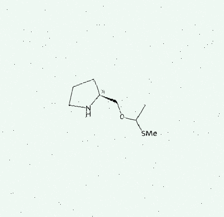 CSC(C)OC[C@@H]1CCCN1